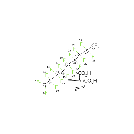 C=CC(=O)O.C=CC(=O)O.FC(F)C(F)(F)C(F)(F)C(F)(F)C(F)(F)C(F)(F)C(F)(F)C(F)(F)C(F)(F)F